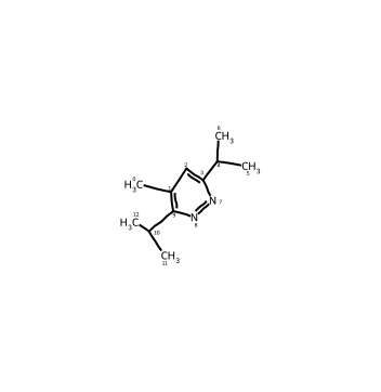 Cc1cc(C(C)C)nnc1C(C)C